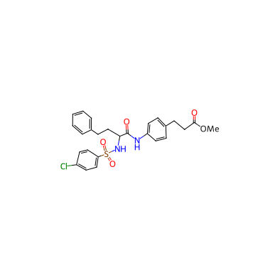 COC(=O)CCc1ccc(NC(=O)C(CCc2ccccc2)NS(=O)(=O)c2ccc(Cl)cc2)cc1